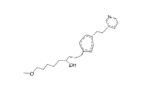 COCCCCCC(O)C=Cc1ccc(CCc2cccnc2)cc1